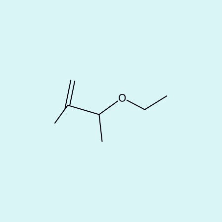 C=C(C)C(C)OCC